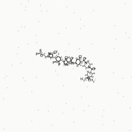 Cn1c(-c2ccc(-c3cn(CCOC(F)F)nc3C(F)(F)F)c(F)c2F)cnc1C(=O)Nc1ccc(C(=O)N2CCN(C(=O)C3CC[N+](C)(C)CC3)CC2)c(Cl)c1